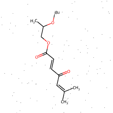 CCC(C)OC(C)COC(=O)/C=C/C(=O)C=C(C)C